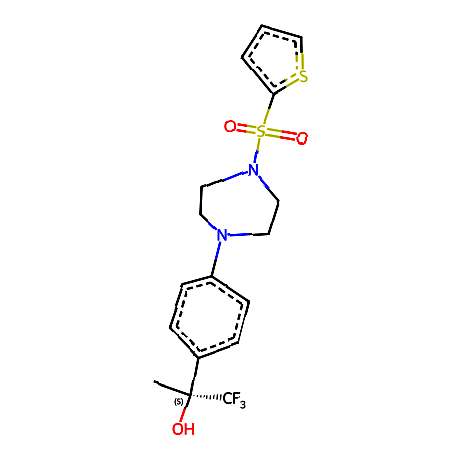 C[C@](O)(c1ccc(N2CCN(S(=O)(=O)c3cccs3)CC2)cc1)C(F)(F)F